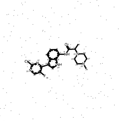 CC(C(=O)Nc1cccc2c(-c3nc(Cl)ncc3F)c[nH]c12)N1CCN(C)CC1